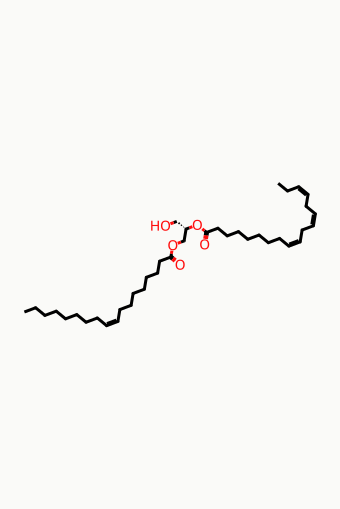 CC/C=C\C/C=C\C/C=C\CCCCCCCC(=O)O[C@@H](CO)COC(=O)CCCCCCC/C=C\CCCCCCCC